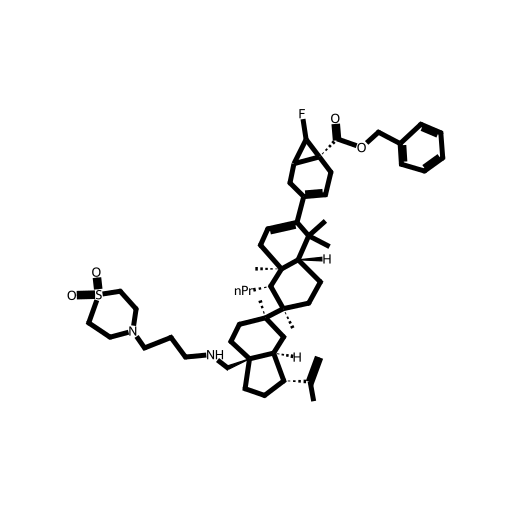 C=C(C)[C@@H]1CC[C@]2(CNCCCN3CCS(=O)(=O)CC3)CC[C@@](C)([C@]3(C)CC[C@H]4C(C)(C)C(C5=CC[C@]6(C(=O)OCc7ccccc7)C(F)C6C5)=CC[C@]4(C)[C@H]3CCC)C[C@@H]12